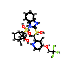 Cc1c(OCC(F)(F)F)ccnc1C[S+]([O-])c1nc2ccccc2n1S(=O)(=O)C1C(=O)C2(C)CCC1C2(C)C